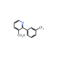 O=C(O)c1cccnc1-c1cccc(C(F)(F)F)c1